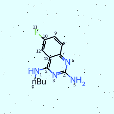 CCCCNc1nc(N)nc2ccc(F)cc12